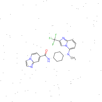 CN(c1cccc2nc(C(F)(F)F)cn12)[C@H]1CC[C@@H](NC(=O)c2ccn3ccnc3c2)CC1